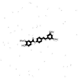 COc1cc(C(=O)Oc2ccc(/C=C/c3cc(OC(C)=O)cc(OC(C)=O)c3)cc2)ccc1O